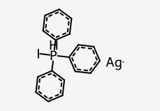 I[PH](c1ccccc1)(c1ccccc1)c1ccccc1.[Ag]